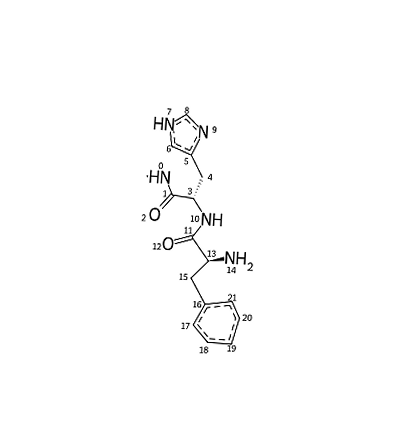 [NH]C(=O)[C@H](Cc1c[nH]cn1)NC(=O)[C@@H](N)Cc1ccccc1